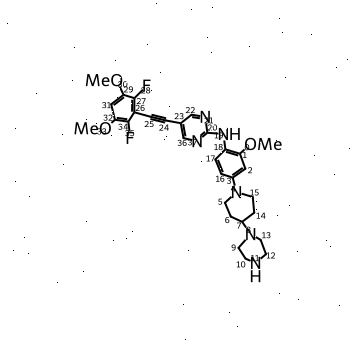 COc1cc(N2CCC(N3CCNCC3)CC2)ccc1Nc1ncc(C#Cc2c(F)c(OC)cc(OC)c2F)cn1